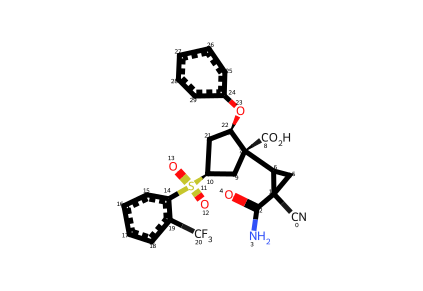 N#CC1(C(N)=O)CC1[C@]1(C(=O)O)C[C@@H](S(=O)(=O)c2ccccc2C(F)(F)F)C[C@H]1Oc1ccccc1